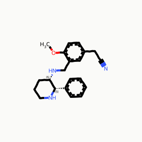 COc1ccc(CC#N)cc1CN[C@H]1CCCN[C@H]1c1ccccc1